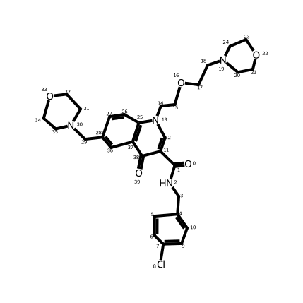 O=C(NCc1ccc(Cl)cc1)c1cn(CCOCCN2CCOCC2)c2ccc(CN3CCOCC3)cc2c1=O